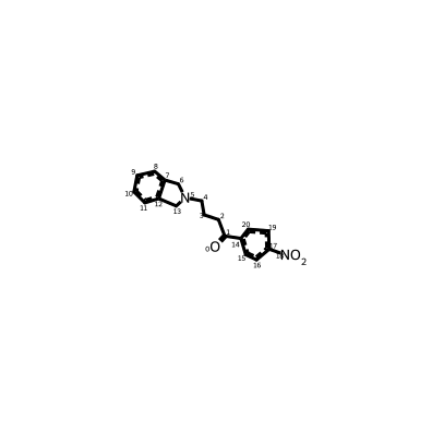 O=C(CCCN1Cc2ccccc2C1)c1ccc([N+](=O)[O-])cc1